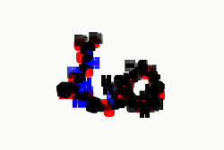 C=C1C[C@@H]2CC[C@@]34CC5OC6C(O[C@H]7CC[C@H](CC(=O)C[C@@H]8[C@@H](OC)[C@@H](C[C@H](O)CNC(=O)OCc9ccc(NC(=O)CNC(O)[C@H](Cc%10ccccc%10)NC(=O)CNC(=O)CNC(=O)CN(CCOCC)CCOCC)cc9)O[C@H]8C[C@H]8O[C@@H](CC[C@@H]1O2)C[C@@H](C)C8=C)S[C@@H]7[C@@H]6O3)[C@H]5O4